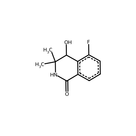 CC1(C)NC(=O)c2cccc(F)c2C1O